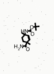 CC1(NC(=O)OC(C)(C)C)C=CC(C)(C(N)=O)CC1